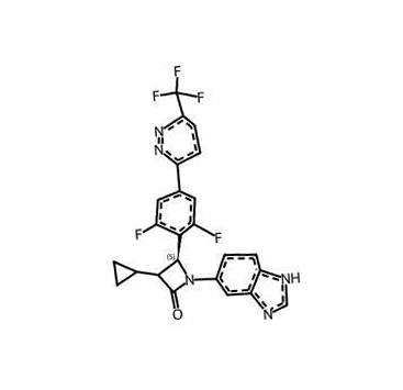 O=C1C(C2CC2)[C@@H](c2c(F)cc(-c3ccc(C(F)(F)F)nn3)cc2F)N1c1ccc2[nH]cnc2c1